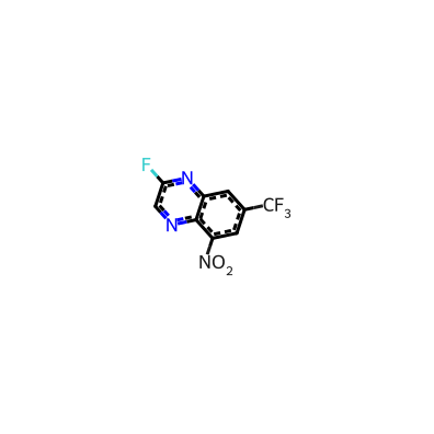 O=[N+]([O-])c1cc(C(F)(F)F)cc2nc(F)cnc12